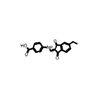 CCc1ccc2c(c1)C(=O)/C(=C\Nc1ccc(C(=O)O)cc1)C2=O